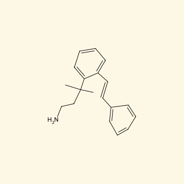 CC(C)(CCN)c1ccccc1C=Cc1ccccc1